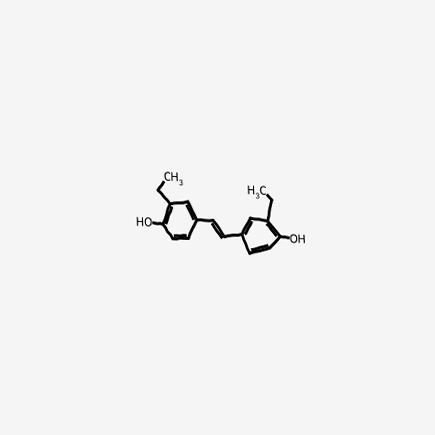 CCc1cc(/C=C/c2ccc(O)c(CC)c2)ccc1O